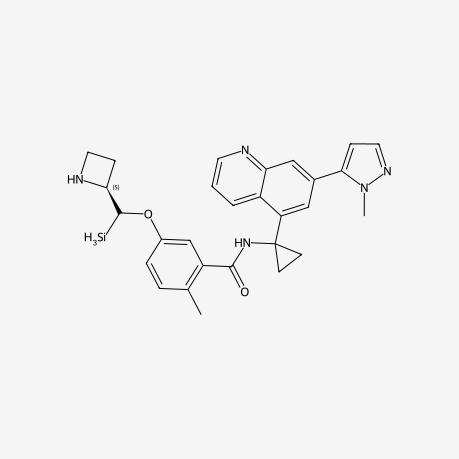 Cc1ccc(OC([SiH3])[C@@H]2CCN2)cc1C(=O)NC1(c2cc(-c3ccnn3C)cc3ncccc23)CC1